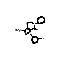 CC(=O)c1cccc(-n2nc(C(=O)O)c3c2C(=O)N(c2ccccc2)CC3)c1